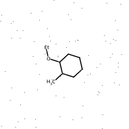 CCOC1CCCCC1C